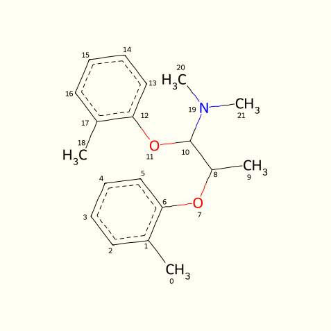 Cc1ccccc1OC(C)C(Oc1ccccc1C)N(C)C